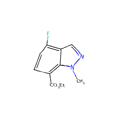 CCOC(=O)c1ccc(F)c2cnn(C)c12